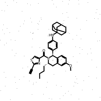 C#Cc1nc(C(=O)N2[C@@H](CCCC)Cc3cc(OC)ccc3[C@@H]2c2ccc(NC34CC5CC(CC(C5)C3)C4)cc2)cs1